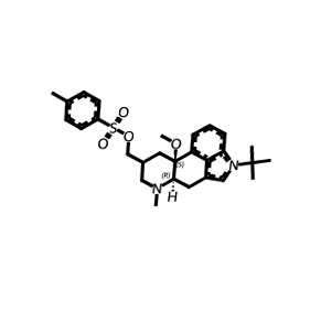 CO[C@]12CC(COS(=O)(=O)c3ccc(C)cc3)CN(C)[C@@H]1Cc1cn(C(C)(C)C)c3cccc2c13